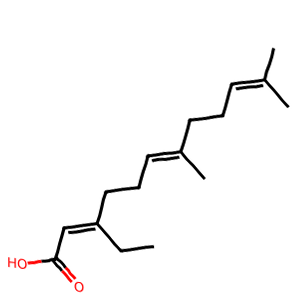 CC/C(=C\C(=O)O)CC/C=C(\C)CCC=C(C)C